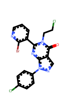 O=c1c2cnn(-c3ccc(Cl)cc3)c2nc(-c2cccnc2Br)n1CCCl